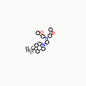 CC1(C)c2cccc3c2-c2c1ccc1ccc4c(c21)c1c-3cccc1n4-c1cccc(N(c2ccc3c(c2)oc2ccccc23)c2ccc3oc4ccccc4c3c2)c1